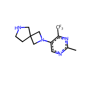 Cc1ncc(N2CC3(CCNC3)C2)c(C(F)(F)F)n1